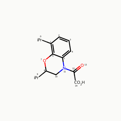 CC(C)c1cccc2c1OC(C(C)C)CN2C(=O)C(=O)O